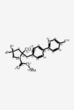 CC(C)(C)OC(=O)N1CC(F)(F)CC1(Cc1ccc(-c2ccc(F)cn2)cc1)C(=O)O